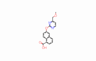 COCc1ccnc(Oc2ccc3c(C(=O)O)cccc3c2)n1